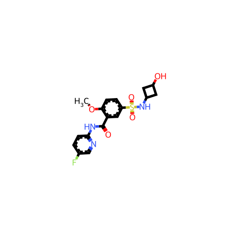 COc1ccc(S(=O)(=O)NC2CC(O)C2)cc1C(=O)Nc1ccc(F)cn1